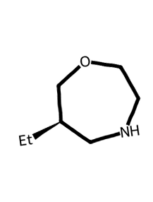 CC[C@@H]1CNCCOC1